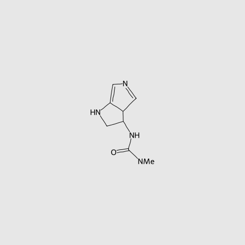 CNC(=O)NC1CNC2=CN=CC21